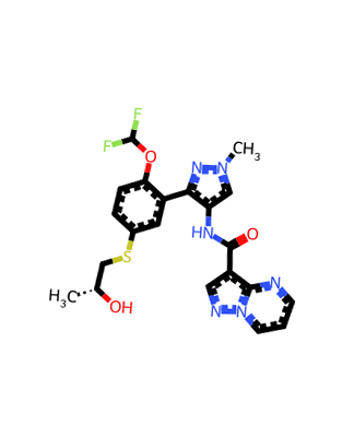 C[C@@H](O)CSc1ccc(OC(F)F)c(-c2nn(C)cc2NC(=O)c2cnn3cccnc23)c1